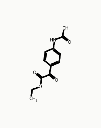 CCOC(=O)C(=O)c1ccc(NC(C)=O)cc1